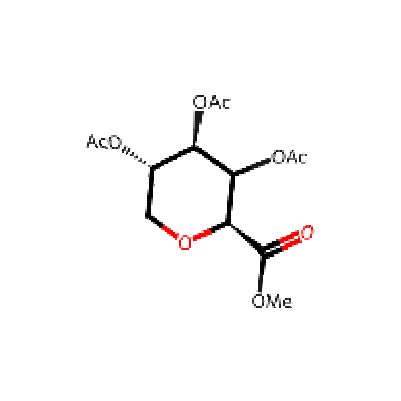 COC(=O)[C@H]1OC[C@H](OC(C)=O)[C@@H](OC(C)=O)C1OC(C)=O